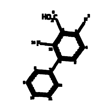 O=C(O)c1c(F)ccc(-c2ccccc2)c1F